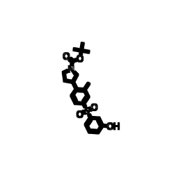 Cc1cc(S(=O)(=O)c2cccc(O)c2)ccc1C1CCN(C(=O)OC(C)(C)C)C1